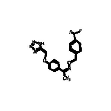 CC(=NOCc1ccc(C(F)F)cc1)c1ccc(OCc2nnn[nH]2)cc1